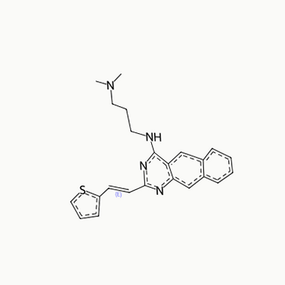 CN(C)CCCNc1nc(/C=C/c2cccs2)nc2cc3ccccc3cc12